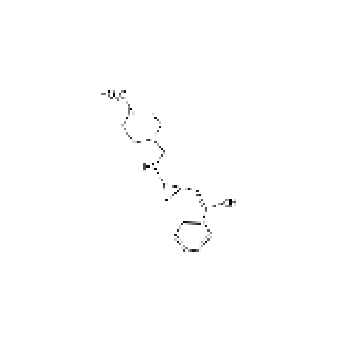 CC(=CC1CC1NCC1CCN(C(=O)O)CC1)c1ccccc1